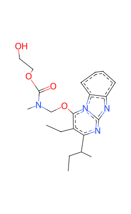 CCc1c(C(C)CC)nc2nc3ccccc3n2c1OCN(C)C(=O)OCCO